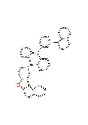 c1cc(-c2cccc3ccccc23)cc(-c2c3ccccc3c(-c3ccc4oc5ccc6ccccc6c5c4c3)c3ccccc23)c1